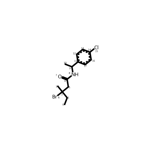 CCC(C)(Br)CC(=O)NC(C)c1ccc(Cl)cc1